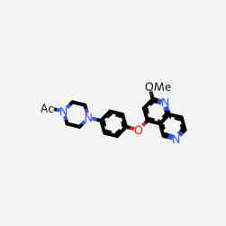 COc1cc(Oc2ccc(N3CCN(C(C)=O)CC3)cc2)c2cnccc2n1